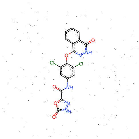 O=C(Nc1cc(Cl)c(Oc2n[nH]c(=O)c3ccccc23)c(Cl)c1)c1n[nH]c(=O)o1